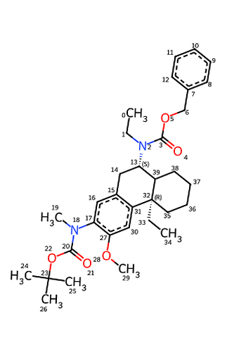 CCN(C(=O)OCc1ccccc1)[C@H]1Cc2cc(N(C)C(=O)OC(C)(C)C)c(OC)cc2[C@]2(CC)CCCCC12